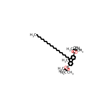 CCCCCCCCCCCCCCCCCCCCCCC1(C)c2cc(B3OC(C)(C)C(C)(C)O3)ccc2-c2ccc(B3OC(C)(C)C(C)(C)O3)cc21